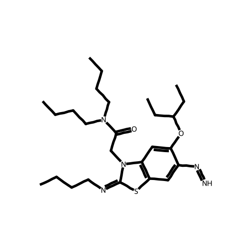 CCCCN=c1sc2cc(N=N)c(OC(CC)CC)cc2n1CC(=O)N(CCCC)CCCC